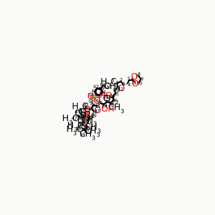 C=C1C[C@H](CCC2OCCCO2)O[C@H]1CC[C@@H](O)C[C@H](C)C(=C)[C@H](O)C[C@@H]1O[C@H](C[C@@H](CO[Si](C)(C)C(C)(C)C)O[Si](C)(C)C(C)(C)C)[C@H](OC)[C@H]1CS(=O)(=O)c1ccc(CC)cc1